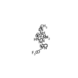 Cn1ccc(NC(=O)C2(C)C(=O)Nc3nc(-c4nn(CCOC(F)(F)F)c5ncccc45)nc(N)c32)n1